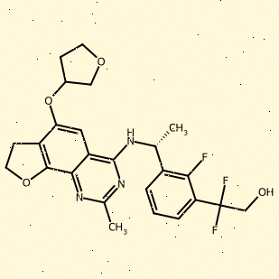 Cc1nc(N[C@H](C)c2cccc(C(F)(F)CO)c2F)c2cc(OC3CCOC3)c3c(c2n1)OCC3